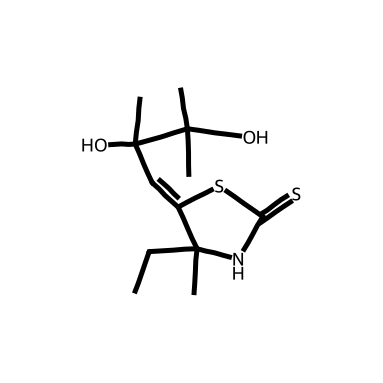 CCC1(C)NC(=S)S/C1=C\C(C)(O)C(C)(C)O